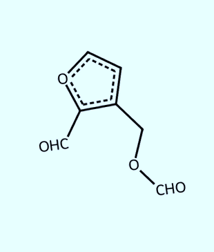 O=COCc1ccoc1C=O